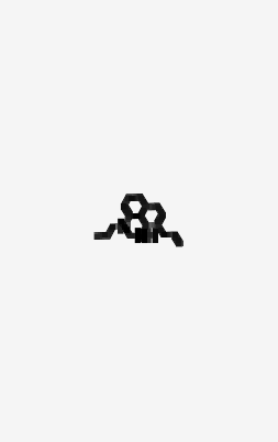 C=CCC1=CC=C2C=CC=C3C2C1NCN3CC=C